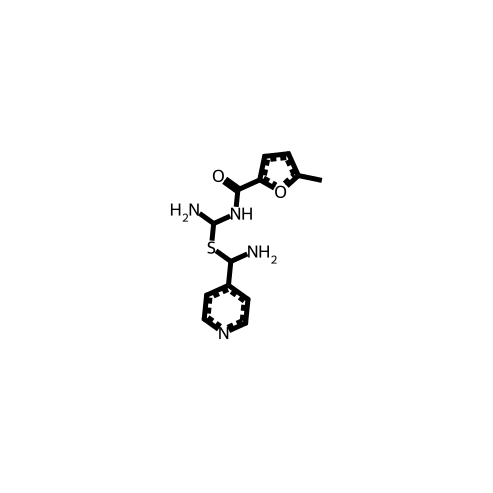 Cc1ccc(C(=O)NC(N)SC(N)c2ccncc2)o1